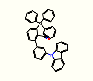 N#Cc1c(-c2cccc(-n3c4ccccc4c4ccccc43)c2)cccc1[Si](c1ccccc1)(c1ccccc1)c1ccccc1